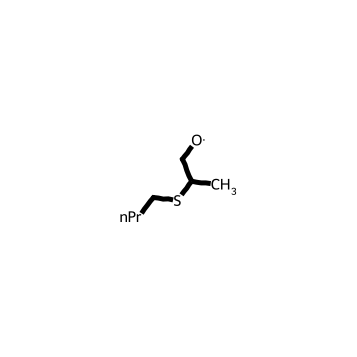 CCCCSC(C)C[O]